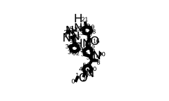 CCOc1ccc(-c2cn(C)c3cc(NC(=O)c4ccc(C)c(Nc5ncnc(-c6ccccc6)n5)c4)ccc23)cn1